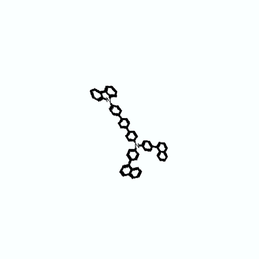 c1ccc2c(-c3ccc(N(c4ccc(-c5ccc(-c6ccc(-n7c8ccccc8c8ccccc87)cc6)cc5)cc4)c4ccc(-c5cccc6ccccc56)cc4)cc3)cccc2c1